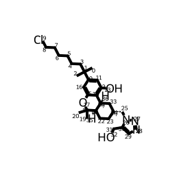 CC(C)(CCCCCCCl)c1cc(O)c2c(c1)OC(C)(C)[C@@H]1CC[C@@H](Cn3nncc3CO)C[C@@H]21